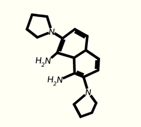 NC1=C(N2CCCC2)C=CC2C=CC(N3CCCC3)=C(N)C12